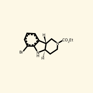 CCOC(=O)N1CC[C@H]2Nc3c(Br)cccc3[C@@H]2C1